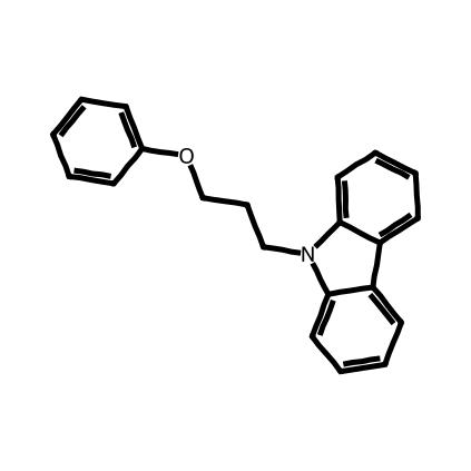 c1ccc(OCCCn2c3ccccc3c3ccccc32)cc1